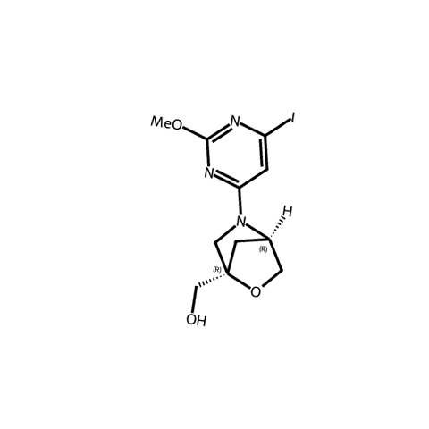 COc1nc(I)cc(N2C[C@@]3(CO)C[C@@H]2CO3)n1